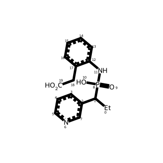 CCC(c1cccnc1)P(=O)(O)Nc1ccccc1CC(=O)O